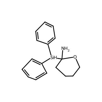 NC1([SiH](c2ccccc2)c2ccccc2)CCCCO1